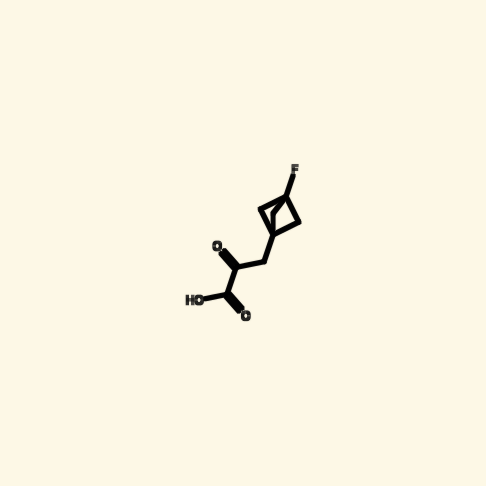 O=C(O)C(=O)CC12CC(F)(C1)C2